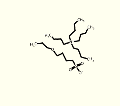 CCCC[N+](CCCC)(CCCC)CCCC.CCCOCCCCS(=O)(=O)[O-]